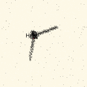 CCCCCCCCCCCCCCCCCC(=O)C(C(=O)CCCCCCCCCCCCCCCCC)(C(O)=[P+]([O-])CC)[N+](C)(C)C